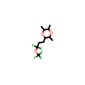 CC1OC(C)C(CCC(F)(F)OC(F)(F)F)OC1C